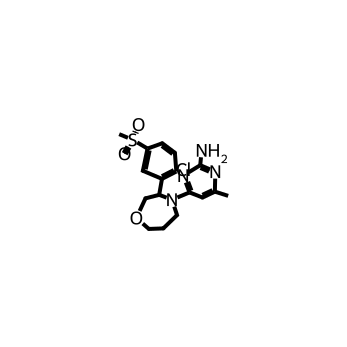 Cc1cc(N2CCCOCC2c2cc(S(C)(=O)=O)ccc2Cl)nc(N)n1